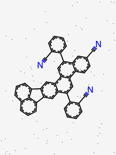 N#Cc1ccc2c(c1)c(-c1ccccc1C#N)cc1c3cc4c(cc3c(-c3ccccc3C#N)cc21)-c1cccc2cccc-4c12